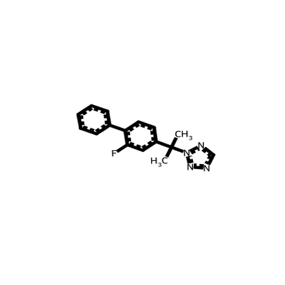 CC(C)(c1ccc(-c2ccccc2)c(F)c1)n1ncnn1